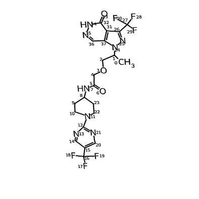 CC(COCC(=O)NC1CCN(c2ncc(C(F)(F)F)cn2)CC1)n1nc(C(F)(F)F)c2c(=O)[nH]ncc21